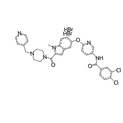 Br.Br.Cn1c(C(=O)N2CCN(Cc3ccncc3)CC2)cc2cc(Oc3ccc(NC(=O)c4ccc(Cl)c(Cl)c4)cn3)ccc21